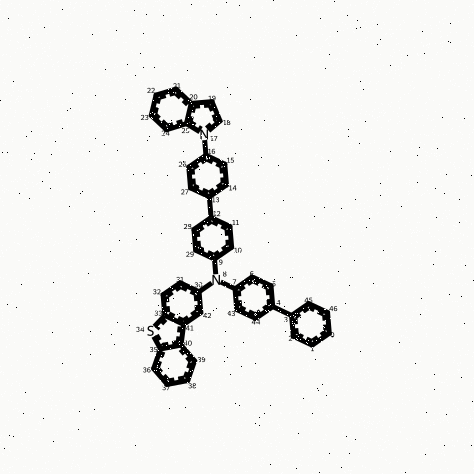 c1ccc(-c2ccc(N(c3ccc(-c4ccc(-n5ccc6ccccc65)cc4)cc3)c3ccc4sc5ccccc5c4c3)cc2)cc1